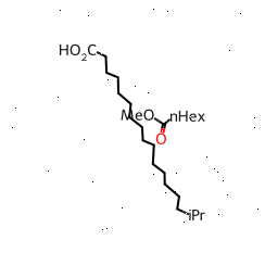 CC(C)CCCCCCCCCCCCCCC(=O)O.CCCCCCC(=O)OC